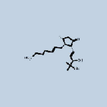 CCCCC(C)(C)C(O)C=C[C@H]1C(=O)C[C@@H](F)[C@@H]1CC=CCCCC(=O)O